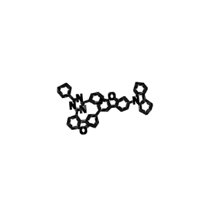 c1ccc(-c2nc(-c3ccccc3)nc(-c3cccc4oc5ccc(-c6ccc7oc8cc(-n9c%10ccccc%10c%10ccccc%109)ccc8c7c6)cc5c34)n2)cc1